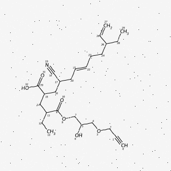 C#CCOCC(O)COC(=O)C(CC)CC(CC(C#N)C/C=C/CCC(C=C)CC)C(=O)O